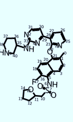 Cc1ccc2c(NS(=O)(=O)CC3CCCO3)c(F)ccc2c1Oc1ncccc1-c1ccnc(NC2CCCNC2)n1